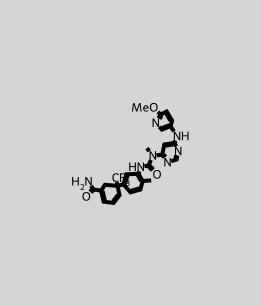 COc1ccc(Nc2cc(N(C)C(=O)Nc3cc(C4(C(F)(F)F)C=CC=C(C(N)=O)C4)ccc3C)ncn2)cn1